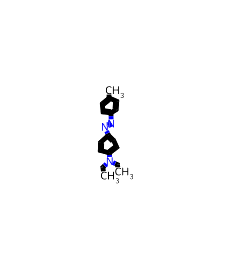 CCN(CC)c1ccc(/N=N/c2ccc(C)cc2)cc1